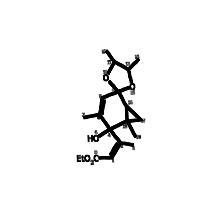 CCOC(=O)/C=C(/C)C1(O)C(C)=CC2(OC(C)C(C)O2)C2CC21C